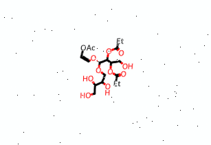 CCC(=O)OC(CO)C(OC(=O)CC)[C@@H](O/C=C\OC(C)=O)OCC(O)C(O)CO